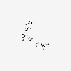 [Ag].[Cr].[O-2].[O-2].[O-2].[W+6]